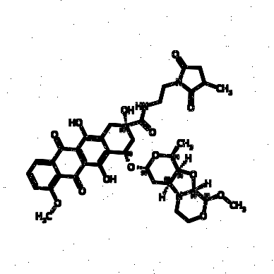 COc1cccc2c1C(=O)c1c(O)c3c(c(O)c1C2=O)C[C@@](O)(C(=O)NCCN1C(=O)CC(C)C1=O)C[C@@H]3O[C@H]1C[C@H]2[C@H](O[C@@H]3[C@@H](OC)OCCN32)[C@H](C)O1